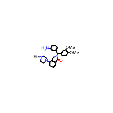 CCN1CCN(c2cccc3c2CN(C(c2cccc(N)c2)c2ccc(OC)c(OC)c2)C3=O)CC1